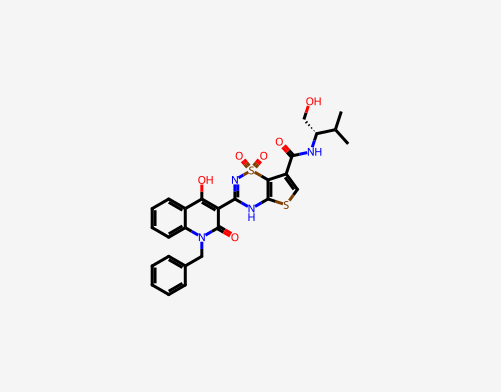 CC(C)[C@@H](CO)NC(=O)c1csc2c1S(=O)(=O)N=C(c1c(O)c3ccccc3n(Cc3ccccc3)c1=O)N2